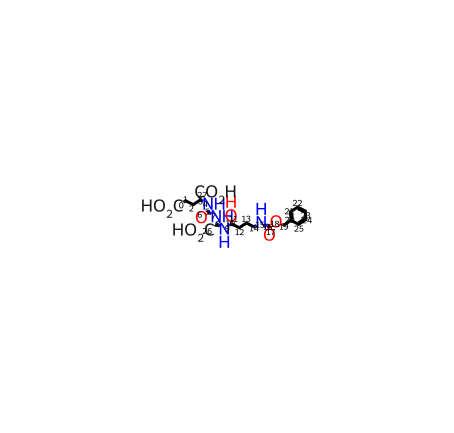 O=C(O)CC[C@H](NC(=O)N[C@@H](NC(O)CCCNC(=O)OCc1ccccc1)C(=O)O)C(=O)O